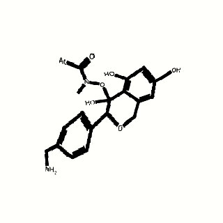 CC(=O)C(=O)N(C)OC1(O)c2c(O)cc(O)cc2COC1c1ccc(CN)cc1